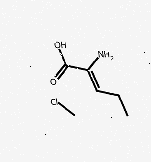 CC/C=C(\N)C(=O)O.CCl